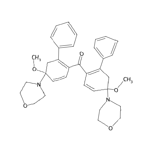 COC1(N2CCOCC2)C=CC(C(=O)C2=C(c3ccccc3)CC(OC)(N3CCOCC3)C=C2)=C(c2ccccc2)C1